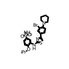 CC(C)Oc1ccc(S(N)(=O)=O)cc1Nc1nc(-c2ccc(N3CCCCC3)c(Br)c2)cs1